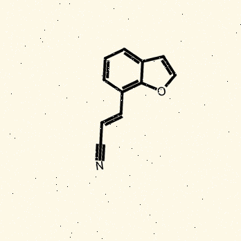 N#CC=Cc1cccc2ccoc12